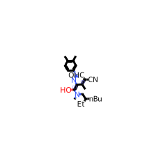 CCCCC(CC)CN(C)/C(O)=C(N=Nc1ccc(C)c(C)c1)\C(C)=C(\C#N)C=O